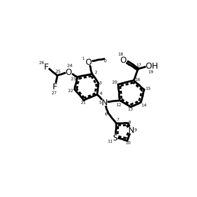 COc1cc(N(Cc2cncs2)c2cccc(C(=O)O)c2)ccc1OC(F)F